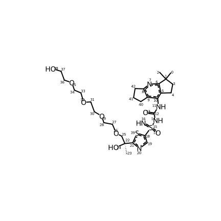 CC1(C)CCc2c1nc1c(c2NC(=O)NS(=N)(=O)c2cnc([C@@](C)(O)COCCOCCOCCOCCO)s2)CCC1